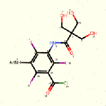 CC(=O)Nc1c(I)c(NC(=O)C(CO)(CO)CO)c(I)c(C(=O)Cl)c1I